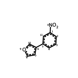 O=[N+]([O-])c1cccc(-c2c[c]oc2)c1